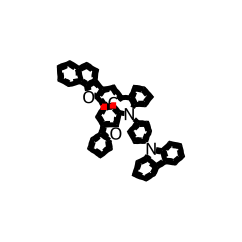 c1ccc(N(c2ccc(-n3c4ccccc4c4ccccc43)cc2)c2cccc3c2oc2ccccc23)c(-c2ccc3oc4c5ccccc5ccc4c3c2)c1